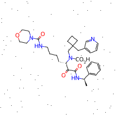 C[C@@H](NC(=O)C(=O)[C@H](CCCCNC(=O)N1CCOCC1)N(CC1(Cc2cccnc2)CCC1)C(=O)O)c1ccccc1